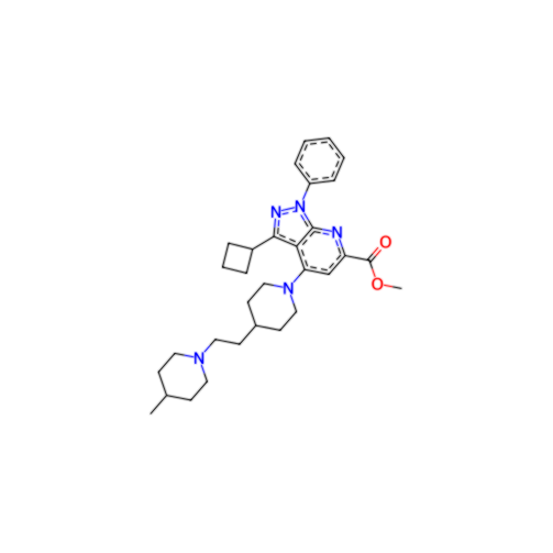 COC(=O)c1cc(N2CCC(CCN3CCC(C)CC3)CC2)c2c(C3CCC3)nn(-c3ccccc3)c2n1